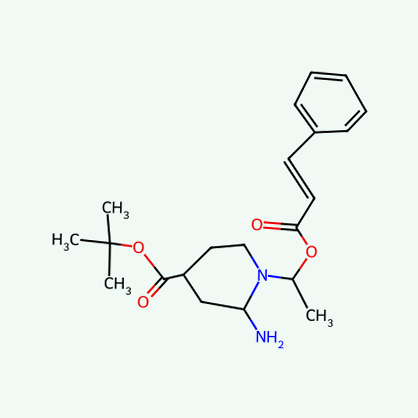 CC(OC(=O)C=Cc1ccccc1)N1CCC(C(=O)OC(C)(C)C)CC1N